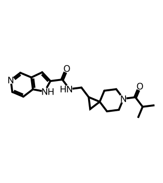 CC(C)C(=O)N1CCC2(CC1)CC2CNC(=O)c1cc2cnccc2[nH]1